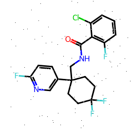 O=C(NCC1(c2ccc(F)nc2)CCC(F)(F)CC1)c1c(F)cccc1Cl